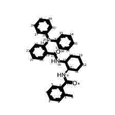 Cc1ccccc1C(=O)N[C@@H]1CCCCC1NC(=O)c1ccccc1P(c1ccccc1)c1ccccc1